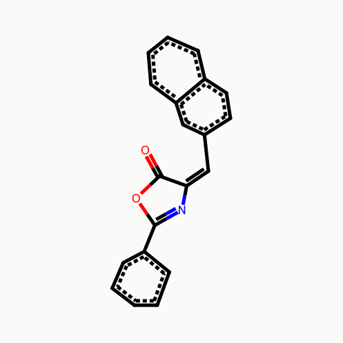 O=C1OC(c2ccccc2)=NC1=Cc1ccc2ccccc2c1